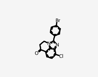 O=C1CCn2c(-c3ccc(Br)cc3)nc3c(Cl)ccc1c32